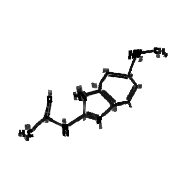 CNc1ccc2nc(NC(C)=O)[nH]c2c1